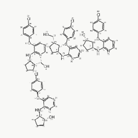 OC[C@@H]1CCC[C@H]1Nc1ncncc1Oc1ccc(Cl)cc1.OC[C@H]1CC[C@H](Nc2ncncc2Oc2ccc(Cl)cc2)C1.O[C@@H]1CCC[C@H]1Nc1ncncc1Oc1ccc(Cl)cc1.O[C@H]1CC[C@H](Nc2ncncc2Oc2ccc(Cl)cc2)C1